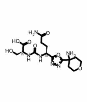 NC(=O)CC[C@H](NC(=O)N[C@@H](CO)C(=O)O)c1nnc(C2(N)CCOCC2)o1